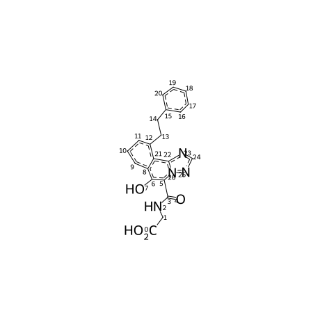 O=C(O)CNC(=O)c1c(O)c2cccc(CCc3ccccc3)c2c2ncnn12